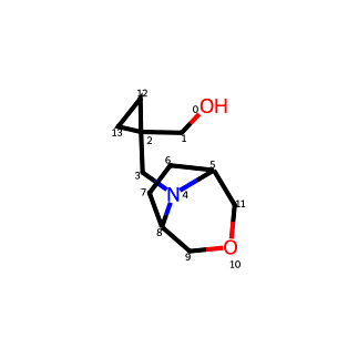 OCC1(CN2C3CCC2COC3)CC1